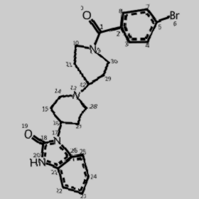 O=C(c1ccc(Br)cc1)N1CCC(N2CCC(n3c(=O)[nH]c4ccccc43)CC2)CC1